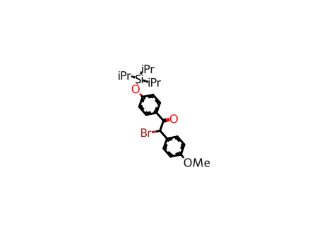 COc1ccc(C(Br)C(=O)c2ccc(O[Si](C(C)C)(C(C)C)C(C)C)cc2)cc1